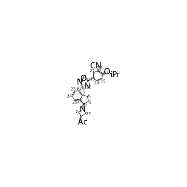 CC(=O)C1CN([C@H]2CCc3c(-c4noc(-c5ccc(OC(C)C)c(C#N)c5)n4)cccc32)C1